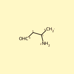 [CH2]C(N)CC=O